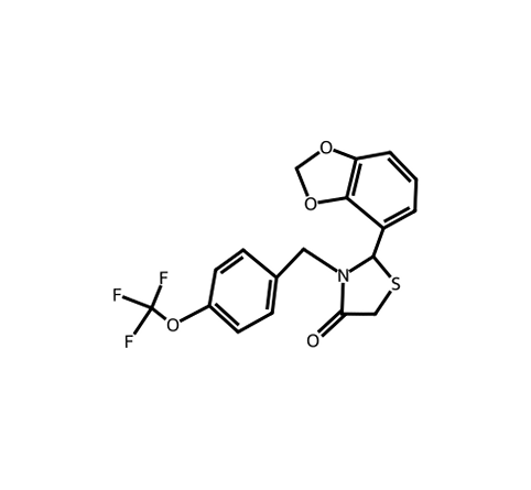 O=C1CSC(c2cccc3c2OCO3)N1Cc1ccc(OC(F)(F)F)cc1